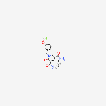 C[C@H]1C[C@@H]1N(C)C(=O)c1cc(C(N)=O)cn(Cc2cccc(OC(F)F)c2)c1=O